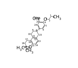 CCCOc1ccc(C2CCc3c(ccc4c3CCC(C)(C)O4)C2)cc1N=O